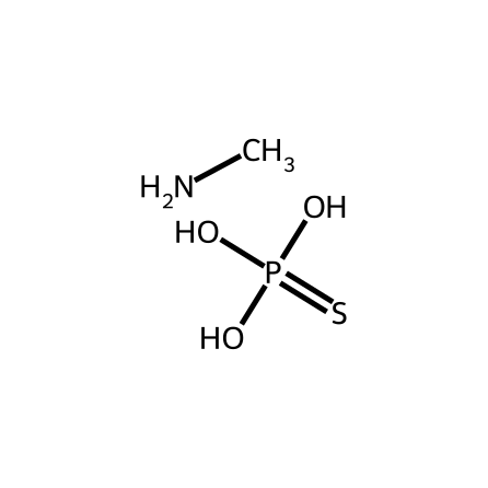 CN.OP(O)(O)=S